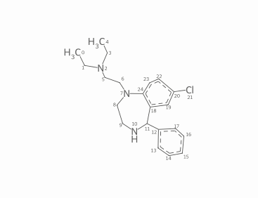 CCN(CC)CCN1CCNC(c2ccccc2)c2cc(Cl)ccc21